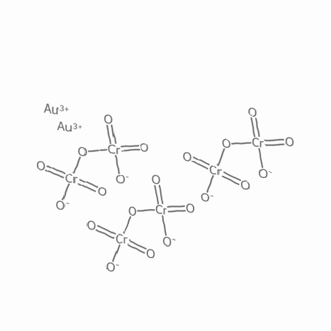 [Au+3].[Au+3].[O]=[Cr](=[O])([O-])[O][Cr](=[O])(=[O])[O-].[O]=[Cr](=[O])([O-])[O][Cr](=[O])(=[O])[O-].[O]=[Cr](=[O])([O-])[O][Cr](=[O])(=[O])[O-]